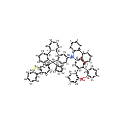 c1ccc(-c2ccccc2N(c2ccc3c(c2)-c2ccccc2Oc2ccccc2-3)c2ccc3c(c2)-c2ccccc2-c2ccccc2C32c3ccccc3-c3cc4c(cc32)sc2ccccc24)cc1